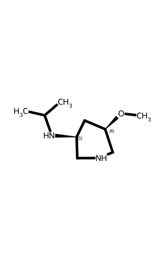 CO[C@H]1CNC[C@@H](NC(C)C)C1